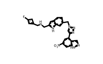 O=[N+]([O-])c1cc(-c2cn(Cc3ccc4cc(CNCC56CC(F)(C5)C6)[nH]c4c3)nn2)c2cn[nH]c2c1